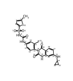 Cc1ccc(S(=O)(=O)NC(=O)Nc2ccc(-n3c(=O)[nH]c4cc(NC5CC5)ccc4c3=O)c(F)c2)s1